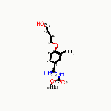 Cc1cc(C(=N)NC(=O)OC(C)(C)C)ccc1OCCCCO